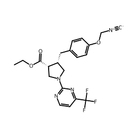 [C-]#[N+]COc1ccc(C[C@@H]2CN(c3nccc(C(F)(F)F)n3)C[C@@H]2C(=O)OCC)cc1